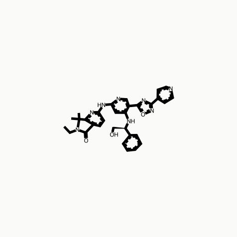 CCN1C(=O)c2ccc(Nc3cc(N[C@H](CO)c4ccccc4)c(-c4nc(-c5ccncc5)no4)cn3)nc2C1(C)C